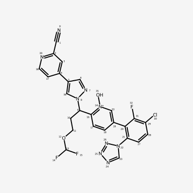 N#Cc1cc(-c2cnn(C(CCOC(F)F)c3ccc(-c4c(-n5cnnn5)ccc(Cl)c4F)c[n+]3O)c2)ccn1